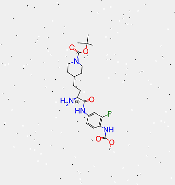 COC(=O)Nc1ccc(NC(=O)[C@@H](N)CCC2CCN(C(=O)OC(C)(C)C)CC2)cc1F